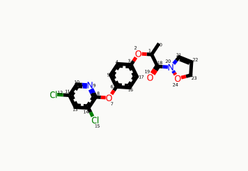 CC(Oc1ccc(Oc2ncc(Cl)cc2Cl)cc1)C(=O)N1C=CCO1